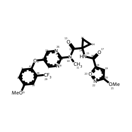 COc1ccc(Oc2cnc(N(C)C(=O)C3(NC(=O)c4cc(OC)no4)CC3)nc2)c(C(F)(F)F)c1